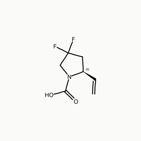 C=C[C@@H]1CC(F)(F)CN1C(=O)O